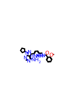 COc1ccccc1C(=O)NCC1=CC=C(c2nn(C3CCCC3)c3ncnc(N)c23)NN1